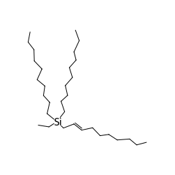 CCCCCCC/C=C/C[Si](CC)(CCCCCCCCCC)CCCCCCCCCC